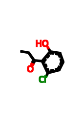 CCC(=O)c1c(O)cccc1Cl